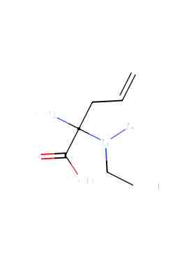 C=CCC(N)(C(=O)O)N(N)CC.Cl